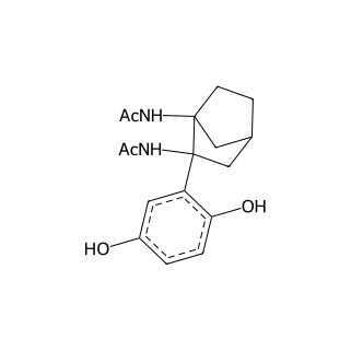 CC(=O)NC12CCC(C1)CC2(NC(C)=O)c1cc(O)ccc1O